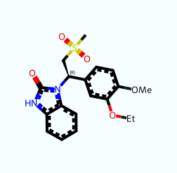 CCOc1cc([C@H](CS(C)(=O)=O)n2c(=O)[nH]c3ccccc32)ccc1OC